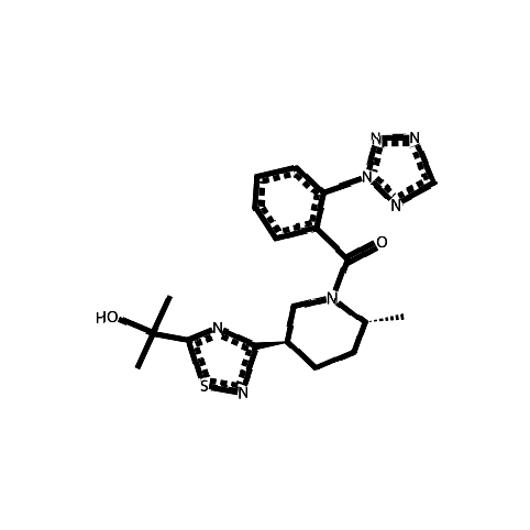 C[C@@H]1CC[C@@H](c2nsc(C(C)(C)O)n2)CN1C(=O)c1ccccc1-n1ncnn1